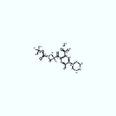 CC1(Nc2cc(F)c(N3CCOCC3)cc2C(=O)[O-])CN(C(=O)OC(C)(C)C)C1.[Li+]